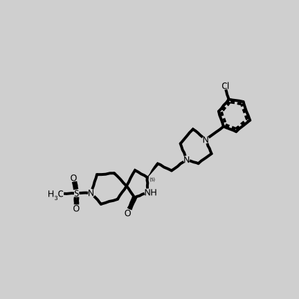 CS(=O)(=O)N1CCC2(CC1)C[C@@H](CCN1CCN(c3cccc(Cl)c3)CC1)NC2=O